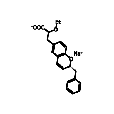 CCOC(Cc1ccc2c(c1)C=C[C@@H](Cc1ccccc1)O2)C(=O)[O-].[Na+]